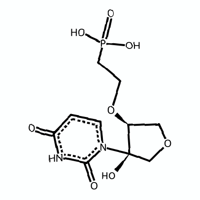 O=c1ccn([C@@]2(O)COC[C@@H]2OCCP(=O)(O)O)c(=O)[nH]1